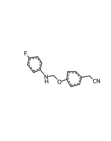 N#CCc1ccc(OCNc2ccc(F)cc2)cc1